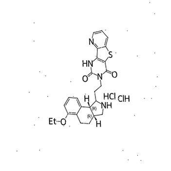 CCOc1cccc2c1CC[C@H]1CNC(CCn3c(=O)[nH]c4c(sc5cccnc54)c3=O)[C@@H]21.Cl.Cl